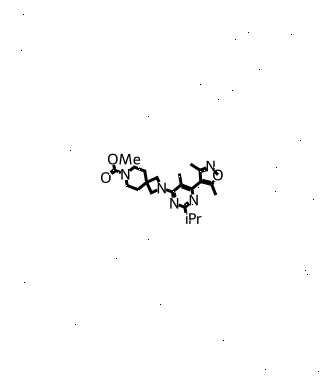 COC(=O)N1CCC2(CC1)CN(c1nc(C(C)C)nc(-c3c(C)noc3C)c1C)C2